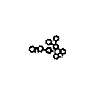 C1=Cc2c(oc3cc(-c4ccc(Nc5cccc6oc7cccc(-c8ccc(-c9ccccc9)c(-c9ccccc9)c8)c7c56)cc4)ccc23)CC1